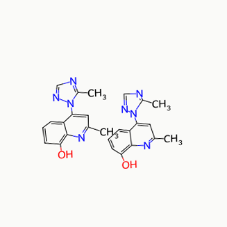 Cc1cc(-n2ncnc2C)c2cccc(O)c2n1.Cc1cc(-n2ncnc2C)c2cccc(O)c2n1